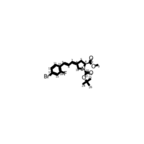 COC(=O)[C@@H]1CC(=CC=Cc2ccc(Br)cc2F)CN1C(=O)OC(C)(C)C